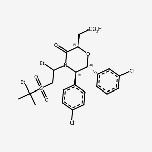 CCC(CS(=O)(=O)C(C)(C)CC)N1C(=O)[C@@H](CC(=O)O)O[C@H](c2cccc(Cl)c2)[C@H]1c1ccc(Cl)cc1